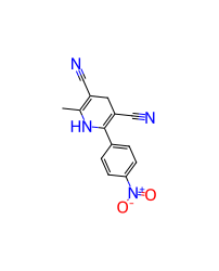 CC1=C(C#N)CC(C#N)=C(c2ccc([N+](=O)[O-])cc2)N1